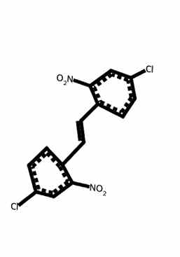 O=[N+]([O-])c1cc(Cl)ccc1/C=C/c1ccc(Cl)cc1[N+](=O)[O-]